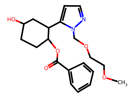 COCCOCn1nccc1C1CC(O)CCC1OC(=O)c1ccccc1